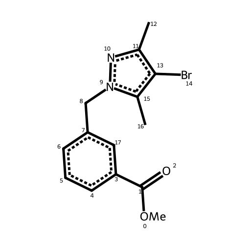 COC(=O)c1cccc(Cn2nc(C)c(Br)c2C)c1